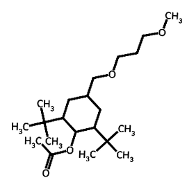 COCCCOCC1CC(C(C)(C)C)C(OC(C)=O)C(C(C)(C)C)C1